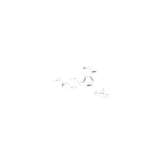 CN(C)C(=O)N1CCN(c2cc(S(=O)(=O)NC3(C)CC3)cc3c(=O)[nH]c(=O)[nH]c23)CC1